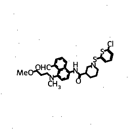 COCCCN(C)c1ccc(NC(=O)C2CCCN(SC3=CC=C=C(Cl)S3)C2)c2cccc(C=O)c12